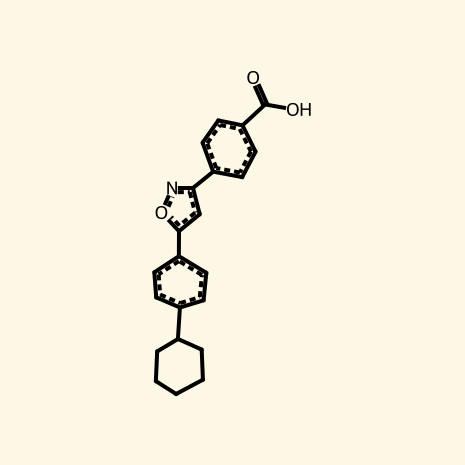 O=C(O)c1ccc(-c2cc(-c3ccc(C4CCCCC4)cc3)on2)cc1